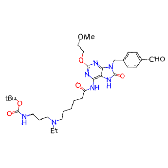 CCN(CCCCCC(=O)Nc1nc(OCCOC)nc2c1[nH]c(=O)n2Cc1ccc(C=O)cc1)CCCNC(=O)OC(C)(C)C